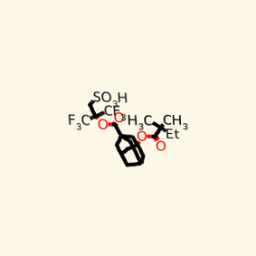 CCC(C)(C)C(=O)OC12CC3CC(C1)CC(C(=O)OC(CS(=O)(=O)O)(C(F)(F)F)C(F)(F)F)(C3)C2